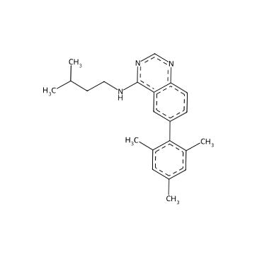 Cc1cc(C)c(-c2ccc3ncnc(NCCC(C)C)c3c2)c(C)c1